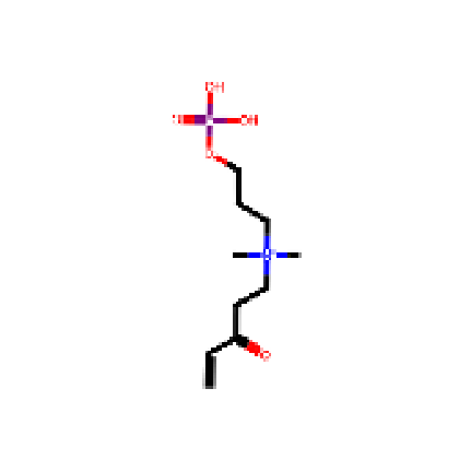 C=CC(=O)CC[N+](C)(C)CCCOP(=O)(O)O